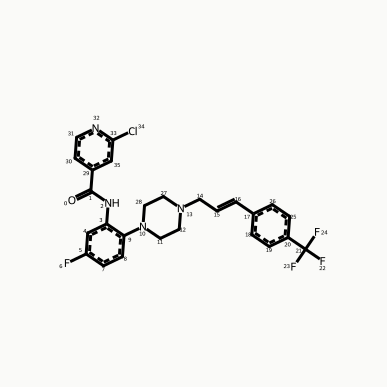 O=C(Nc1cc(F)ccc1N1CCN(CC=Cc2ccc(C(F)(F)F)cc2)CC1)c1ccnc(Cl)c1